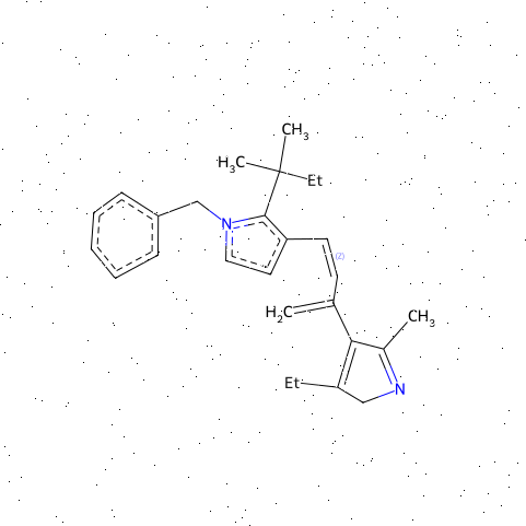 C=C(/C=C\c1ccn(Cc2ccccc2)c1C(C)(C)CC)C1=C(CC)CN=C1C